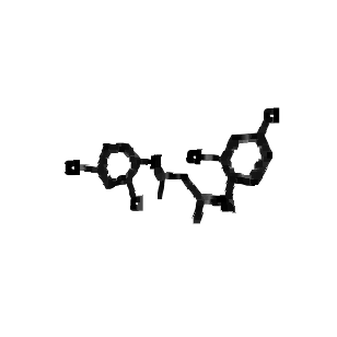 C/C(C/C(C)=N/c1ccc(Cl)cc1Cl)=N/c1ccc(Cl)cc1Cl